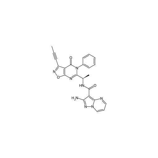 CC#Cc1noc2nc([C@@H](C)NC(=O)c3c(N)nn4cccnc34)n(-c3ccccc3)c(=O)c12